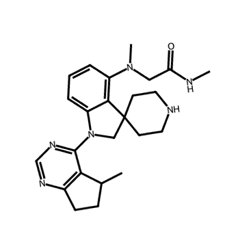 CNC(=O)CN(C)c1cccc2c1C1(CCNCC1)CN2c1ncnc2c1C(C)CC2